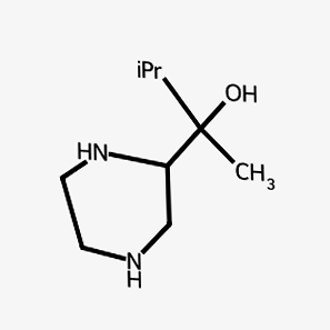 CC(C)C(C)(O)C1CNCCN1